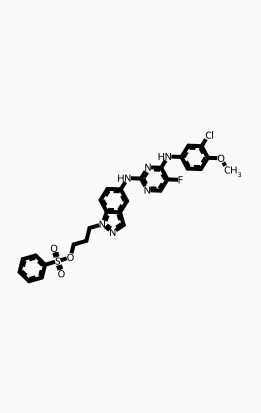 COc1ccc(Nc2nc(Nc3ccc4c(cnn4CCCOS(=O)(=O)c4ccccc4)c3)ncc2F)cc1Cl